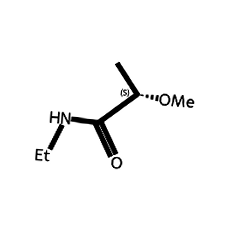 CCNC(=O)[C@H](C)OC